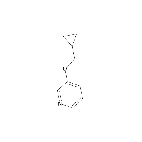 [c]1cncc(OCC2CC2)c1